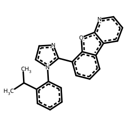 CC(C)c1ccccc1-n1ccnc1-c1cccc2c1oc1ncccc12